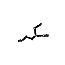 CCCOOP(OC)OF